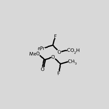 CCCC(F)OC(=O)O.COC(=O)OC(C)F